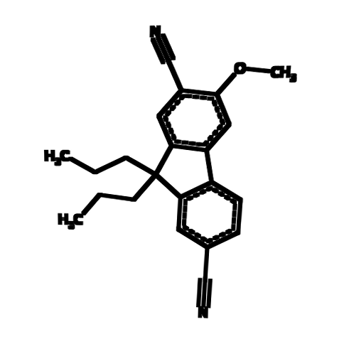 CCCC1(CCC)c2cc(C#N)ccc2-c2cc(OC)c(C#N)cc21